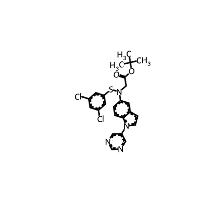 CC(C)(C)OC(=O)CN(Sc1cc(Cl)cc(Cl)c1)c1ccc2c(ccn2-c2cncnc2)c1